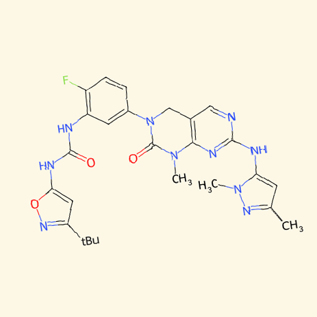 Cc1cc(Nc2ncc3c(n2)N(C)C(=O)N(c2ccc(F)c(NC(=O)Nc4cc(C(C)(C)C)no4)c2)C3)n(C)n1